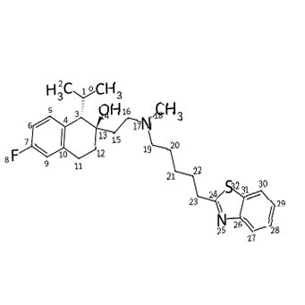 CC(C)[C@H]1c2ccc(F)cc2CC[C@@]1(O)CCN(C)CCCCCc1nc2ccccc2s1